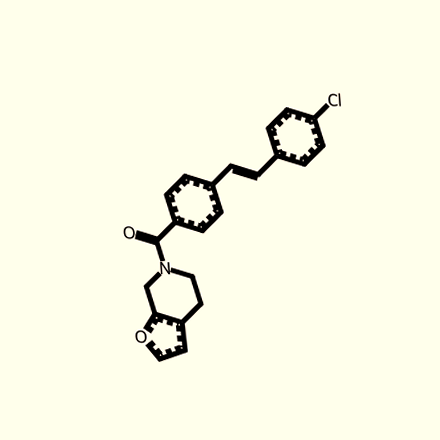 O=C(c1ccc(C=Cc2ccc(Cl)cc2)cc1)N1CCc2ccoc2C1